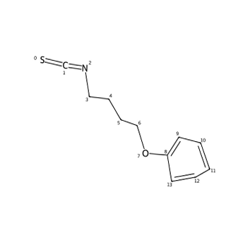 S=C=NCCCCOc1ccccc1